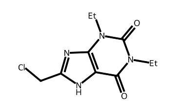 CCn1c(=O)c2[nH]c(CCl)nc2n(CC)c1=O